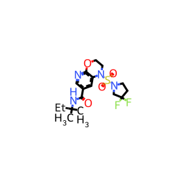 CCC(C)(C)NC(=O)c1cnc2c(c1)N(S(=O)(=O)N1CCC(F)(F)C1)CCO2